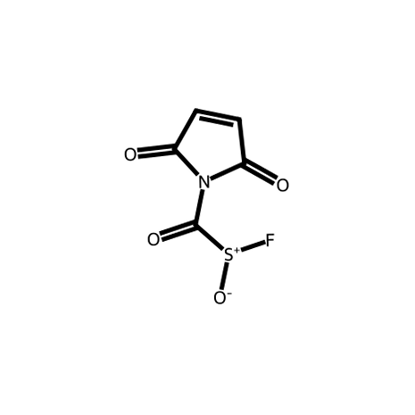 O=C1C=CC(=O)N1C(=O)[S+]([O-])F